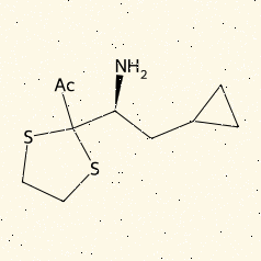 CC(=O)C1([C@@H](N)CC2CC2)SCCS1